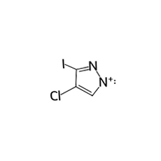 ClC1=C[N+]N=C1I